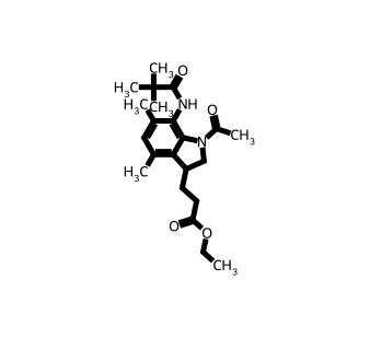 CCOC(=O)CCC1CN(C(C)=O)c2c(NC(=O)C(C)(C)C)c(C)cc(C)c21